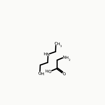 CCNCCO.NCC(=O)O